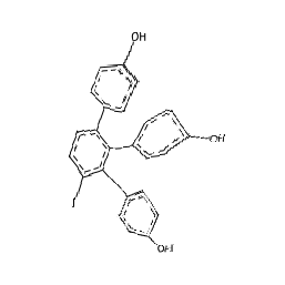 Oc1ccc(-c2ccc(I)c(-c3ccc(O)cc3)c2-c2ccc(O)cc2)cc1